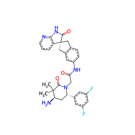 CC1(C)C(=O)N(CC(=O)Nc2ccc3c(c2)C[C@@]2(C3)C(=O)Nc3ncccc32)[C@H](c2cc(F)cc(F)c2)C[C@H]1N